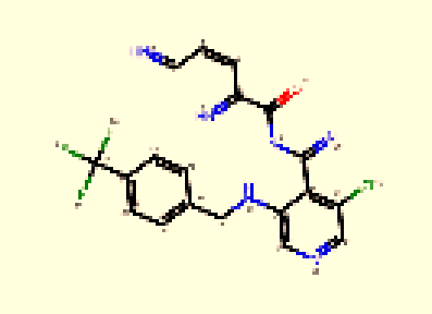 N=C/C=C\C(=N)C(=O)NC(=N)c1c(Cl)cncc1NCc1ccc(C(F)(F)F)cc1